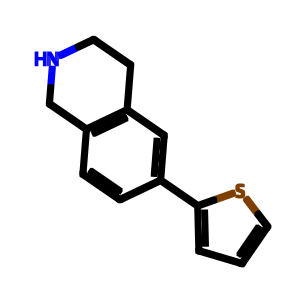 c1csc(-c2ccc3c(c2)CCNC3)c1